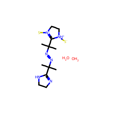 CC(C)(N=NC(C)(C)C1=[N+]([S-])CC[NH+]1[S-])C1=NCCN1.O.O